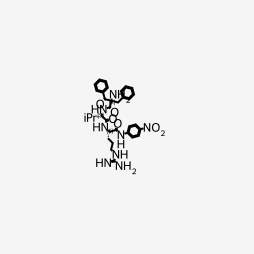 CC(C)[C@H](NC(=O)[C@@](N)(Cc1ccccc1)C(=O)c1ccccc1)C(=O)N[C@@H](CCCNC(=N)N)C(=O)Nc1ccc([N+](=O)[O-])cc1